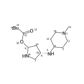 CN1CCC(N[C@@H]2CNC(OC(=O)C(C)(C)C)C2)CC1